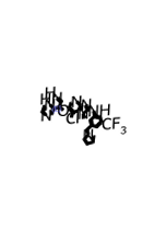 Cn1c(Nc2cc(CN3CCCC3)cc(C(F)(F)F)c2)nc2ncc(O/C(C=N)=C3\C=NC=CN3)c(Cl)c21